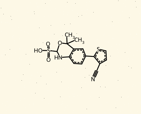 CC1(C)OC(S(=O)(=O)O)Nc2ccc(-c3sccc3C#N)cc21